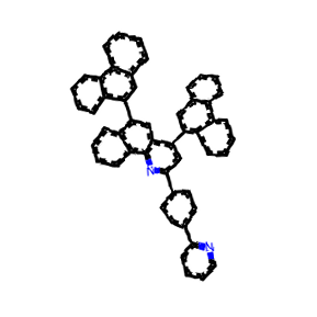 c1ccc(-c2ccc(-c3cc(-c4cc5ccccc5c5ccccc45)c4cc(-c5cc6ccccc6c6ccccc56)c5ccccc5c4n3)cc2)nc1